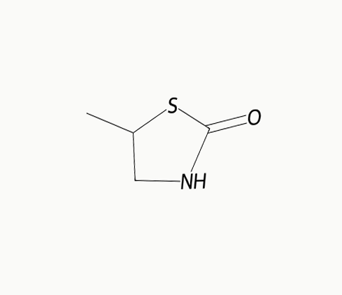 CC1CNC(=O)S1